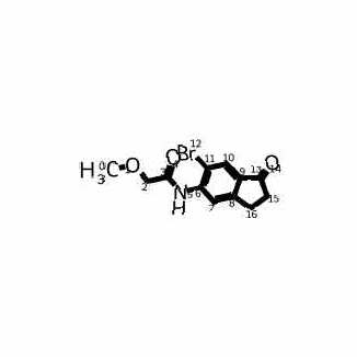 COCC(=O)Nc1cc2c(cc1Br)C(=O)CC2